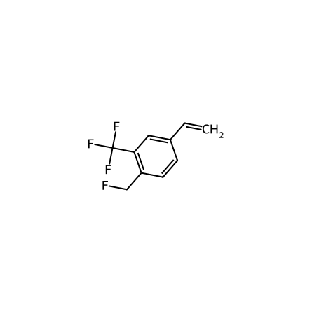 C=Cc1ccc(CF)c(C(F)(F)F)c1